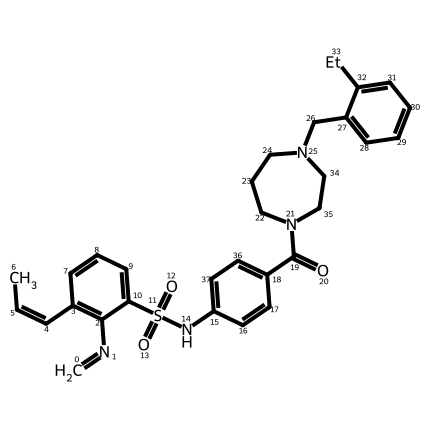 C=Nc1c(/C=C\C)cccc1S(=O)(=O)Nc1ccc(C(=O)N2CCCN(Cc3ccccc3CC)CC2)cc1